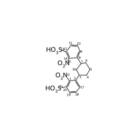 O=[N+]([O-])c1c(C2CCCC(c3cccc(S(=O)(=O)O)c3[N+](=O)[O-])C2)cccc1S(=O)(=O)O